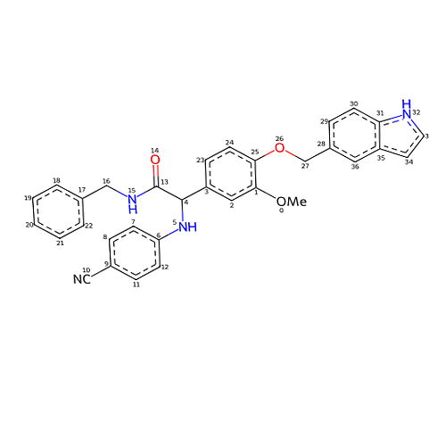 COc1cc(C(Nc2ccc(C#N)cc2)C(=O)NCc2ccccc2)ccc1OCc1ccc2[nH]ccc2c1